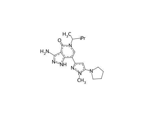 CC(C)C(C)n1cc(-c2cc(N3CCCC3)n(C)n2)c2[nH]nc(N)c2c1=O